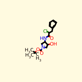 CC(C)(C)OC(=O)N1CC(O)C(NC(=O)C(Cl)Cc2ccccc2)C1